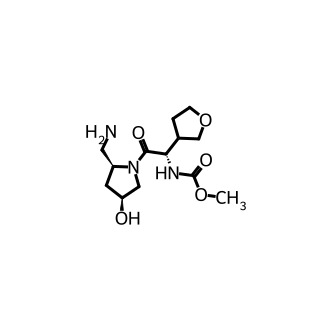 COC(=O)N[C@H](C(=O)N1C[C@@H](O)C[C@H]1CN)C1CCOC1